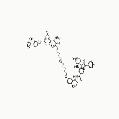 Cc1ncsc1-c1ccc(CNC(=O)[C@@H]2CC(=O)CN2C(=O)[C@@H](NC(=O)COCCCOCCCCCOc2ccc3c(c2)[C@H](NC(=O)c2cccc(NC4(c5nnc(-c6ccncc6)[nH]5)CCNCC4)c2)CCO3)C(C)(C)C)cc1